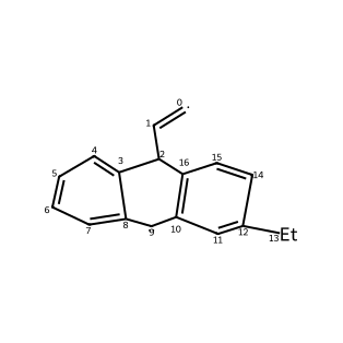 [CH]=CC1c2ccccc2[C]c2cc(CC)ccc21